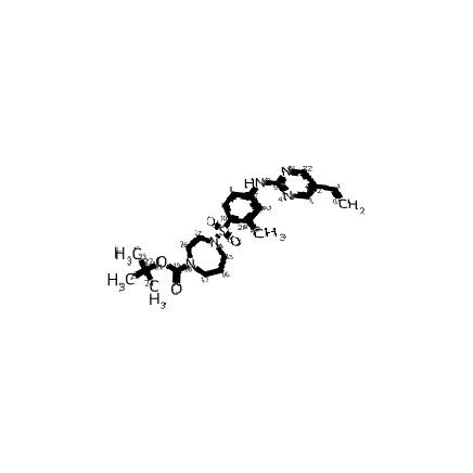 C=Cc1cnc(Nc2ccc(S(=O)(=O)N3CCCN(C(=O)OC(C)(C)C)CC3)c(C)c2)nc1